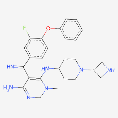 CN1CN=C(N)C(C(=N)c2ccc(Oc3ccccc3)c(F)c2)=C1NC1CCN(C2CNC2)CC1